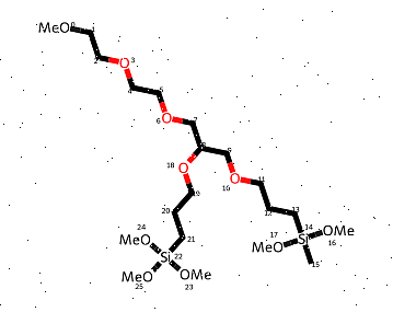 COCCOCCOCC(COCCC[Si](C)(OC)OC)OCCC[Si](OC)(OC)OC